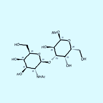 CO[C@H]1O[C@H](CO)[C@H](O)[C@H](O[C@@H]2O[C@H](CO)[C@H](O)[C@H](O)[C@H]2NC(C)=O)[C@H]1O